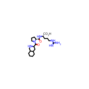 N=C(N)NCCC[C@H](NC(=O)[C@@H]1CCCN1C(=O)C1CC2CCCCC2CN1)C(=O)O